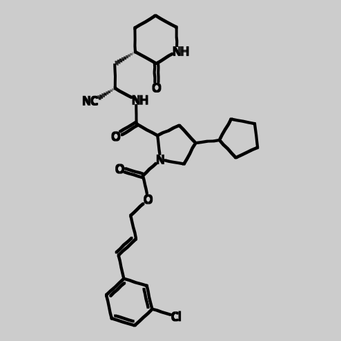 N#C[C@H](C[C@@H]1CCCNC1=O)NC(=O)C1CC(C2CCCC2)CN1C(=O)OC/C=C/c1cccc(Cl)c1